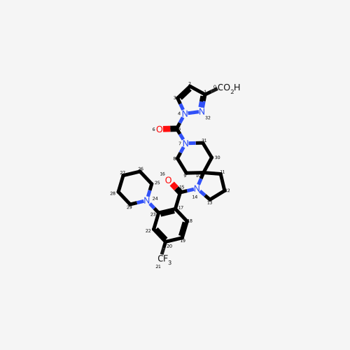 O=C(O)c1ccn(C(=O)N2CCC3(CCCN3C(=O)c3ccc(C(F)(F)F)cc3N3CCCCC3)CC2)n1